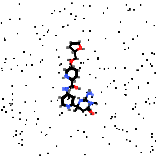 CN1C(=O)CC(C)(c2cc(NC(=O)c3ccc(OCC4CC=CO4)cn3)ccn2)N=C1N